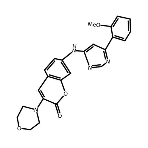 COc1ccccc1-c1cc(Nc2ccc3cc(N4CCOCC4)c(=O)oc3c2)ncn1